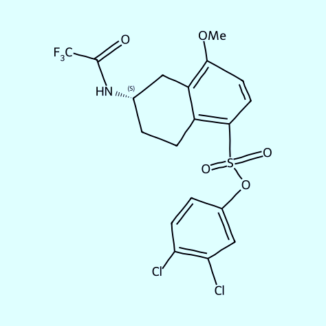 COc1ccc(S(=O)(=O)Oc2ccc(Cl)c(Cl)c2)c2c1C[C@@H](NC(=O)C(F)(F)F)CC2